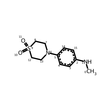 CNc1ccc(N2CCS(=O)(=O)CC2)cc1